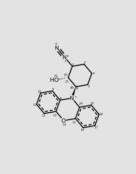 N#[N+]C1CCC[C@@H](N2c3ccccc3Oc3ccccc32)[C@@H]1O